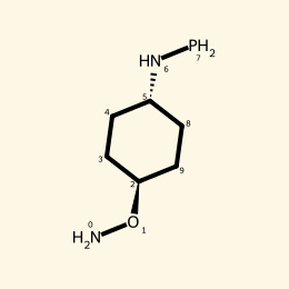 NO[C@H]1CC[C@H](NP)CC1